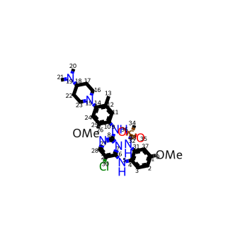 COc1ccc(Nc2nc(Nc3cc(C)c(N4CCC(N(C)C)CC4)cc3OC)ncc2Cl)c(NS(C)(=O)=O)c1